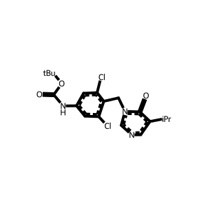 CC(C)c1cncn(Cc2c(Cl)cc(NC(=O)OC(C)(C)C)cc2Cl)c1=O